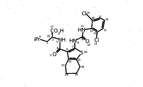 CC(C)C[C@H](NC(=O)c1c(NC(=O)Nc2c(Cl)cccc2Cl)sc2c1CCCC2)C(=O)O